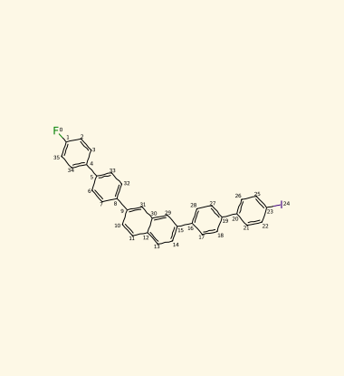 Fc1ccc(-c2ccc(-c3ccc4ccc(-c5ccc(-c6ccc(I)cc6)cc5)cc4c3)cc2)cc1